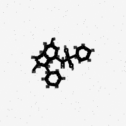 Cc1cc(NS(=O)(=O)c2ccccc2)c2c(-c3ccccc3)c(C)sc2n1